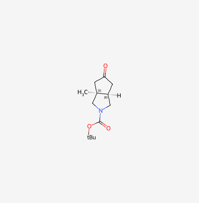 CC(C)(C)OC(=O)N1C[C@@H]2CC(=O)C[C@]2(C)C1